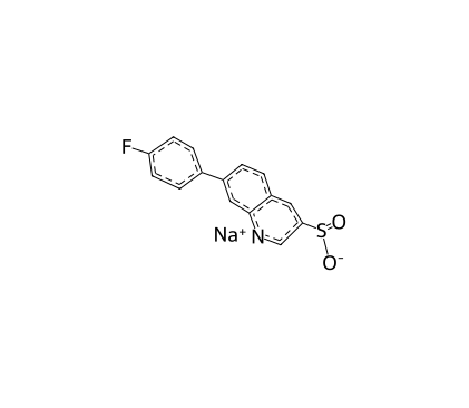 O=S([O-])c1cnc2cc(-c3ccc(F)cc3)ccc2c1.[Na+]